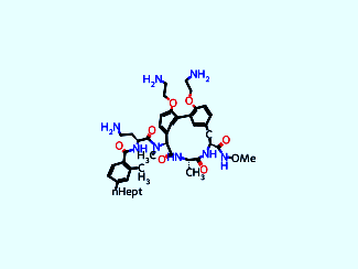 CCCCCCCc1ccc(C(=O)N[C@@H](CCN)C(=O)N(C)[C@@H]2C(=O)N[C@@H](C)C(=O)N[C@H](C(=O)NOC)Cc3ccc(OCCN)c(c3)-c3cc2ccc3OCCN)c(C)c1